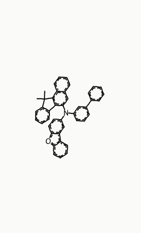 CC1(C)c2ccccc2-c2c(N(c3cccc(-c4ccccc4)c3)c3ccc4oc5ccccc5c4c3)cc3ccccc3c21